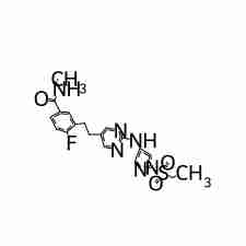 CCS(=O)(=O)n1cc(Nc2ncc(CCc3cc(C(=O)NC)ccc3F)cn2)cn1